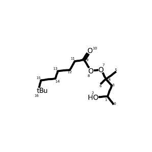 CC(O)CC(C)(C)OOC(=O)CCCCCC(C)(C)C